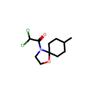 CC1CCC2(CC1)OCCN2C(=O)C(Cl)Cl